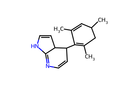 CC1=CC(C)CC(C)=C1C1C=CN=C2NC=CC21